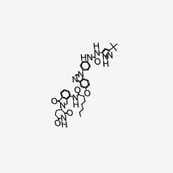 CCCCCC(Oc1ccc2c(c1)ncn2-c1ccc(NC(=O)Nc2cc(C(C)(C)C)n[nH]2)cc1)C(=O)Nc1cccc2c1CN(C1CCC(=O)NC1=O)C2=O